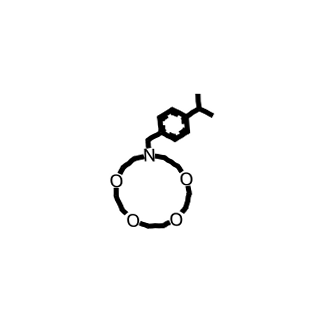 CC(C)c1ccc(CN2CCOCCOCCOCCOCC2)cc1